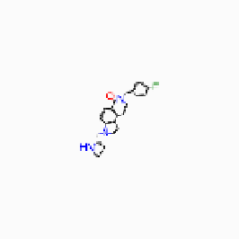 O=c1c2ccc3c(ccn3C[C@@H]3CCCN3)c2ccn1Cc1ccc(F)cc1